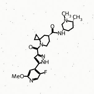 COc1cc(-c2cc(C(=O)N3CC[C@H](C(=O)N[C@H]4CC[C@@H](C)N(C)C4)CC34CC4)n[nH]2)c(F)cn1